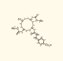 CCN1CCN(CC(=O)OC(C)(C)C)CCN(CC(=O)NNc2ccc(C(=O)O)cn2)CCN(CC(=O)OC(C)(C)C)CC1